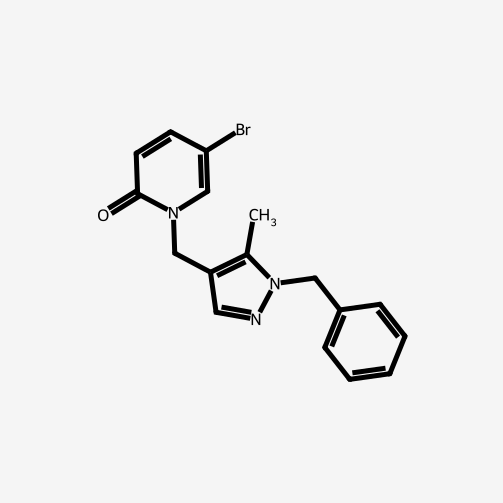 Cc1c(Cn2cc(Br)ccc2=O)cnn1Cc1ccccc1